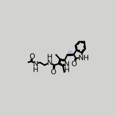 CC(=O)NCCNC(=O)c1c(C)[nH]c(/C=C2\C(=O)Nc3ccccc32)c1C